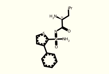 CC(C)C[C@H](N)C(=O)N=S(N)(=O)c1sccc1-c1ccccc1